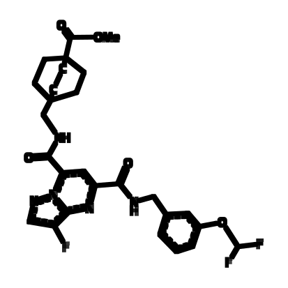 COC(=O)C12CCC(CNC(=O)c3cc(C(=O)NCc4cccc(OC(F)F)c4)nc4c(F)cnn34)(CC1)CC2